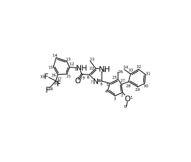 COc1ccc(-c2nc(C(=O)Nc3cccc(C(F)(F)F)c3)c(C)[nH]2)c(C)c1-c1ccccc1C